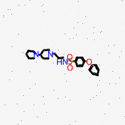 O=S(=O)(NCCCN1CCC(N2CCCCC2)CC1)c1ccc(Oc2ccccc2)cc1